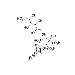 Cl.N.O=C(O)CC(O)(CC(=O)O)C(=O)O.O=C(O)O.O=C(O)[C@H](O)[C@@H](O)[C@H](O)[C@H](O)CO.[Fe].[Fe].[Fe].[Fe]